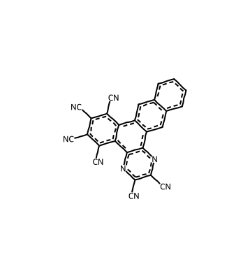 N#Cc1nc2c3cc4ccccc4cc3c3c(C#N)c(C#N)c(C#N)c(C#N)c3c2nc1C#N